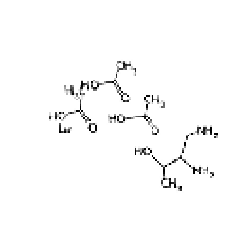 CC(=O)O.CC(=O)O.CC(=O)O.CC(O)C(N)CN.[La]